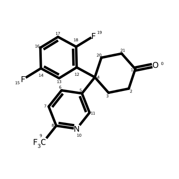 O=C1CCC(c2ccc(C(F)(F)F)nc2)(c2cc(F)ccc2F)CC1